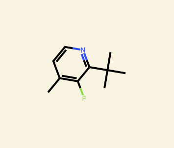 Cc1ccnc(C(C)(C)C)c1F